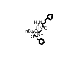 CCCCOC(=O)[C@H](Cc1ccccc1)NC(=O)CNC(=O)[C@@H](N)CCc1ccccc1